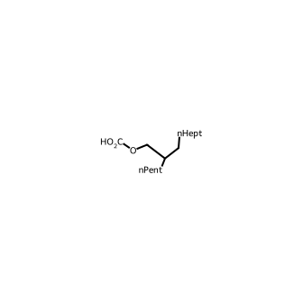 CCCCCCCCC(CCCCC)COC(=O)O